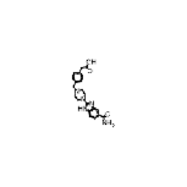 NC(=O)c1ccc2[nH]c(N3CCN(Cc4ccc(CC(=O)O)cc4)CC3)nc2c1